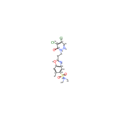 Cc1cc2oc(CCn3ncc(Cl)c(Cl)c3=O)nc2cc1S(=O)(=O)N(C)C